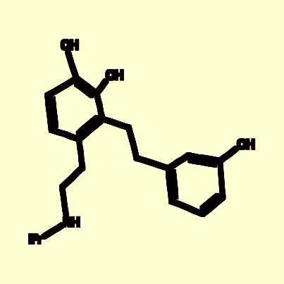 CC(C)NCCc1ccc(O)c(O)c1CCc1cccc(O)c1